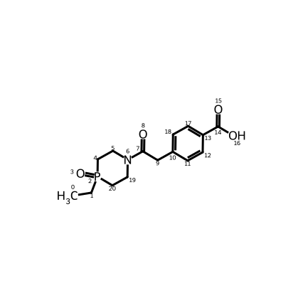 CCP1(=O)CCN(C(=O)Cc2ccc(C(=O)O)cc2)CC1